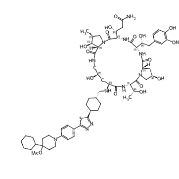 COc1cc(C[C@@H](O)[C@@H]2NC(=O)[C@@H]3C[C@@H](O)CN3C(=O)[C@H]([C@@H](C)O)NC(=O)[C@@H](NC[C@H]3CC[C@H](c4nnc(-c5ccc(N6CCC(OC)(C7CCCCC7)CC6)cc5)s4)CC3)C[C@@H](O)CNC(=O)[C@@H]3[C@@H](O)[C@@H](C)CN3C(=O)[C@H]([C@H](O)CC(N)=O)NC2=O)ccc1O